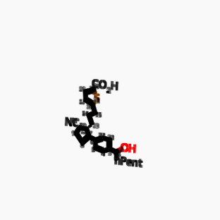 CCCCCC(O)c1ccc(C2=CCC(C#N)[C@@H]2CCCc2ccc(C(=O)O)s2)cc1